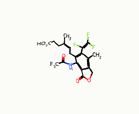 CC(=CCc1c(NC(=O)C(F)(F)F)c2c(c(C)c1C(F)=C(F)F)COC2=O)CCC(=O)O